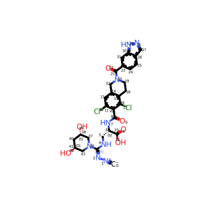 [C-]#[N+]/N=C(\NC[C@H](NC(=O)c1c(Cl)cc2c(c1Cl)CCN(C(=O)c1ccc3cn[nH]c3c1)C2)C(=O)O)N1C[C@@H](O)C[C@H](O)C1